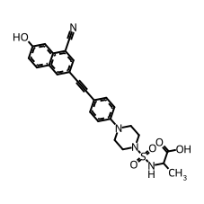 CC(NS(=O)(=O)N1CCN(c2ccc(C#Cc3cc(C#N)c4cc(O)ccc4c3)cc2)CC1)C(=O)O